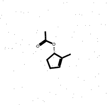 CC(=O)O[C@H]1CCC=C1C